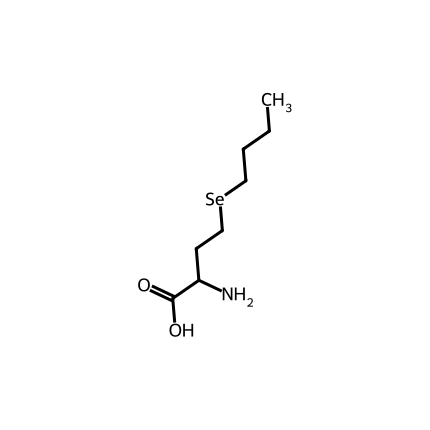 CCCC[Se]CCC(N)C(=O)O